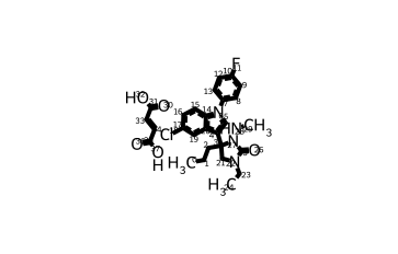 CCCC1(c2cn(-c3ccc(F)cc3)c3ccc(Cl)cc23)CN(CC)C(=O)N1NC.O=C(O)C=CC(=O)O